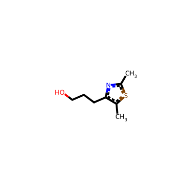 Cc1nc(CCCO)c(C)s1